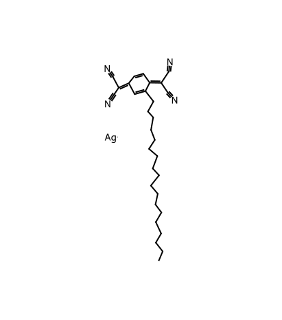 CCCCCCCCCCCCCCCCCCc1cc(=C(C#N)C#N)ccc1=C(C#N)C#N.[Ag]